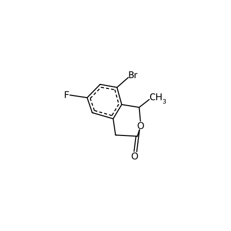 CC1OC(=O)Cc2cc(F)cc(Br)c21